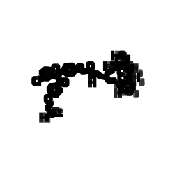 CCN(CC)CCOc1ccc(C(=O)c2c(-c3ccc(OCC(=O)NCCC(CCNC(C)(C)/C(C)=N\O)CCNC(C)(C)/C(C)=N\O)cc3)oc3ccc(Cl)cc23)cc1